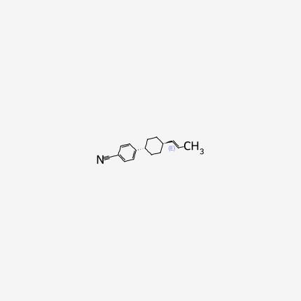 C/C=C/[C@H]1CC[C@H](c2ccc(C#N)cc2)CC1